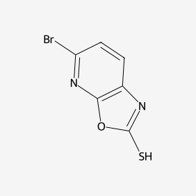 Sc1nc2ccc(Br)nc2o1